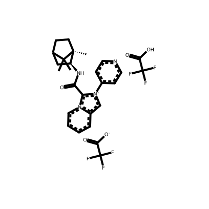 CC1(C)C2CC[C@@]1(C)[C@@H](NC(=O)c1n3ccccc3c[n+]1-c1ccncc1)C2.O=C(O)C(F)(F)F.O=C([O-])C(F)(F)F